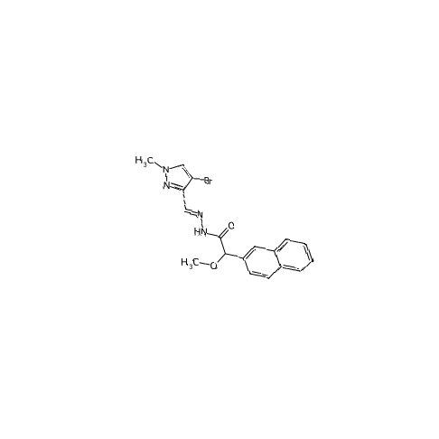 COC(C(=O)N/N=C/c1nn(C)cc1Br)c1ccc2ccccc2c1